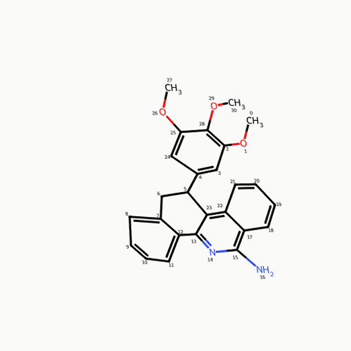 COc1cc(C2Cc3ccccc3-c3nc(N)c4ccccc4c32)cc(OC)c1OC